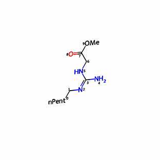 CCCCCCN=C(N)NCC(=O)OC